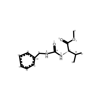 COC(=O)[C@@H](NC(=O)NCc1ccccc1)C(C)C